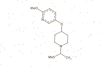 COc1ccc(OC2CCN(C(C)SC)CC2)cn1